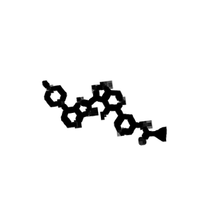 CN1CCN(c2ccnc3[nH]c(-c4n[nH]c5cnc(-c6cncc(NC(=O)C7CC7)c6)c(F)c45)nc23)CC1